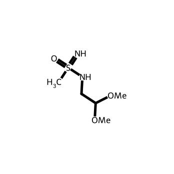 COC(CNS(C)(=N)=O)OC